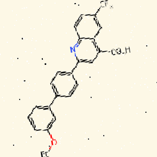 CCOc1cccc(-c2ccc(-c3cc(C(=O)O)c4cc(C(F)(F)F)ccc4n3)cc2)c1